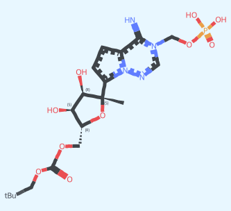 CC(C)(C)COC(=O)OC[C@H]1O[C@@](C)(c2ccc3c(=N)n(COP(=O)(O)O)cnn23)[C@H](O)[C@@H]1O